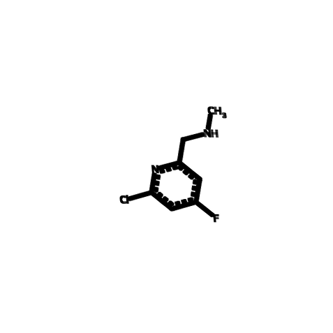 CNCc1cc(F)cc(Cl)n1